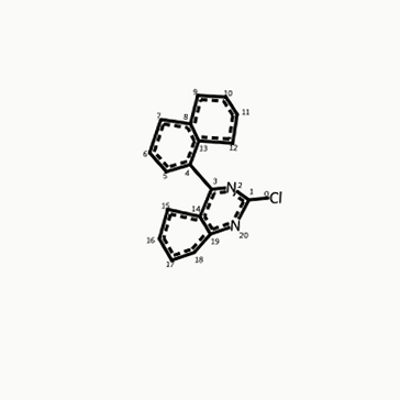 Clc1nc(-c2cccc3ccccc23)c2ccccc2n1